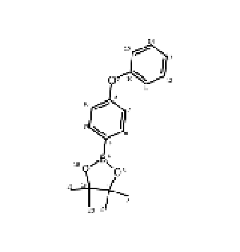 CC1(C)OB(c2ccc(Oc3cc[c]cc3)cc2)OC1(C)C